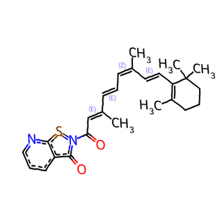 CC1=C(/C=C/C(C)=C\C=C\C(C)=C\C(=O)n2sc3ncccc3c2=O)C(C)(C)CCC1